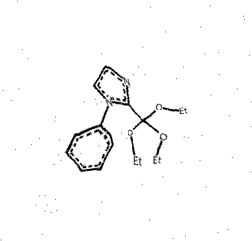 CCOC(OCC)(OCC)c1nccn1-c1ccccc1